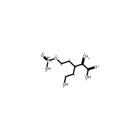 C=C(C(=O)O)C(CCO)CCO[PH](=O)O